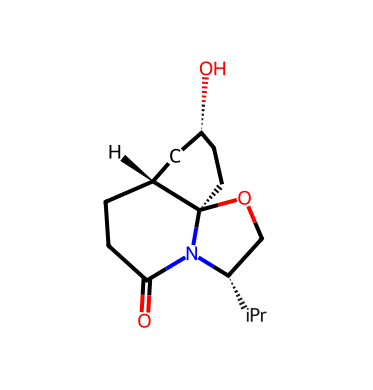 CC(C)[C@H]1CO[C@]23CC[C@@H](O)C[C@H]2CCC(=O)N13